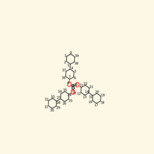 C1CCC(C2CCC(OB(OC3CCC(C4CCCCC4)CC3)OC3CCC(C4CCCCC4)CC3)CC2)CC1